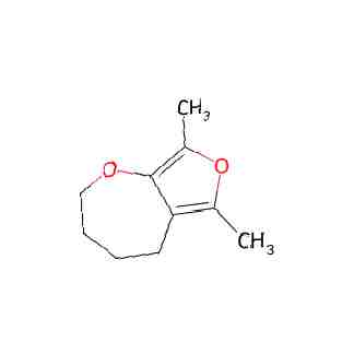 Cc1oc(C)c2c1CCCCO2